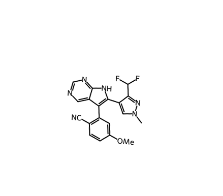 COc1ccc(C#N)c(-c2c(-c3cn(C)nc3C(F)F)[nH]c3ncncc23)c1